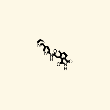 Cc1ccc2c(c1CC(=O)Nc1ccc(-c3nccs3)cn1)C(=O)NC2=O